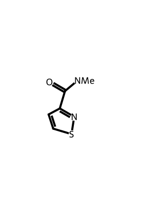 CNC(=O)c1ccsn1